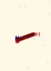 COC(=O)c1ccc(N=[N+]=[N-])cc1OCCOCCOCCOCCOCCOCCOCCOCCOCCOCCOCCOCCO